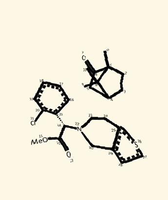 CC12CCC(CC1=O)C2(C)C.COC(=O)[C@H](c1ccccc1Cl)N1CCc2sccc2C1